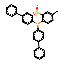 Cc1ccc(P(c2ccc(-c3ccccc3)cc2)c2ccc(-c3ccccc3)cc2)c([SH](=O)=O)c1